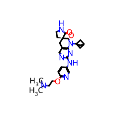 CN(C)CCOc1ccc(Nc2ncc3c(n2)N(C24CC(C2)C4)C(=O)[C@]2(CCNC2=O)C3)cn1